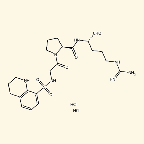 Cl.Cl.N=C(N)NCCC[C@@H](C=O)NC(=O)[C@@H]1CCCN1C(=O)CNS(=O)(=O)c1cccc2c1NCCC2